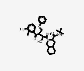 Cc1c(O)cccc1C(=O)C(CSc1ccccc1)C(O)C(N)N1CC2CCCCC2CC1C(=O)NC(C)(C)C